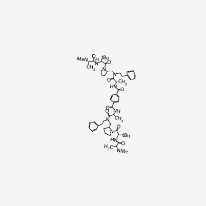 CN[C@@H](C)C(=O)N[C@H](C(=O)N1CCC[C@H]1CN(CCc1ccccc1)C(=O)[C@H](C)NC(=O)c1ccc(C(=O)N[C@@H](C)C(=O)N(CCc2ccccc2)C[C@@H]2CCCN2C(=O)[C@@H](NC(=O)[C@H](C)NC)C(C)(C)C)cc1)C(C)(C)C